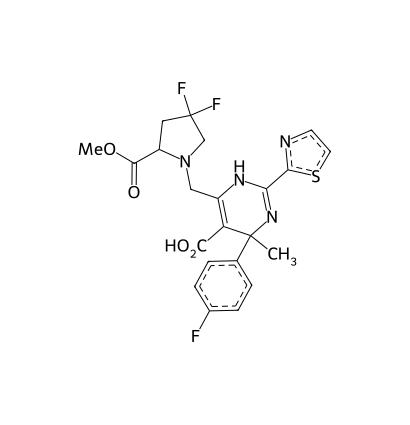 COC(=O)C1CC(F)(F)CN1CC1=C(C(=O)O)C(C)(c2ccc(F)cc2)N=C(c2nccs2)N1